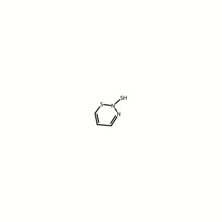 SN1N=CC=CS1